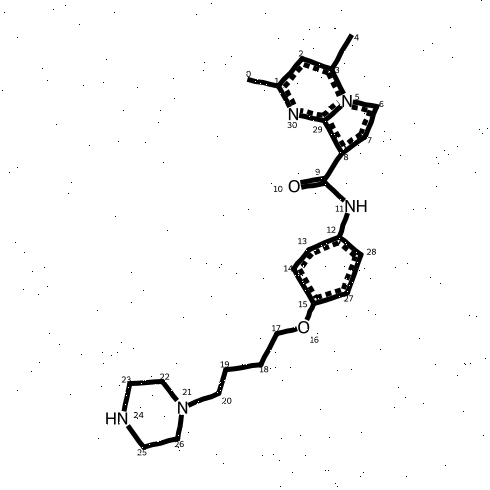 Cc1cc(C)n2ccc(C(=O)Nc3ccc(OCCCCN4CCNCC4)cc3)c2n1